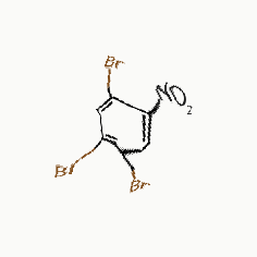 O=[N+]([O-])c1cc(Br)c(Br)cc1Br